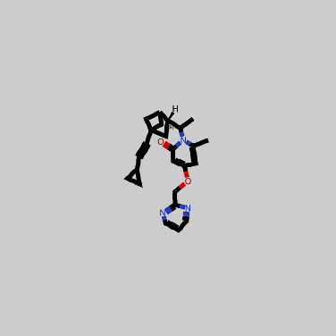 Cc1cc(OCc2ncccn2)cc(=O)n1C(C)[C@@H]1CC2(C#CC3CC3)CC1C2